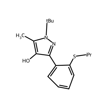 Cc1c(O)c(-c2ccccc2SC(C)C)nn1C(C)(C)C